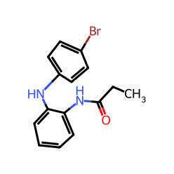 CCC(=O)Nc1ccccc1Nc1ccc(Br)cc1